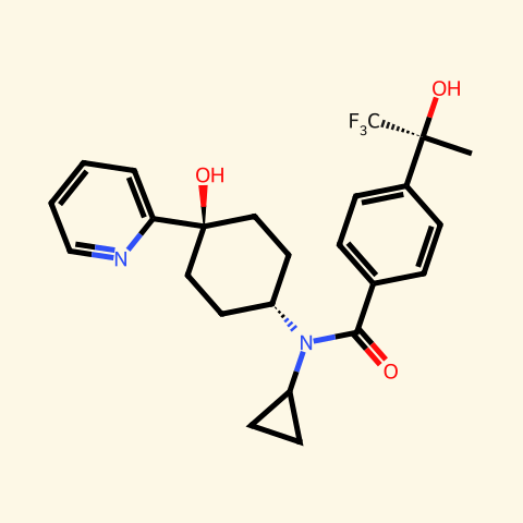 C[C@](O)(c1ccc(C(=O)N(C2CC2)[C@H]2CC[C@@](O)(c3ccccn3)CC2)cc1)C(F)(F)F